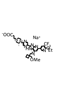 CCOc1ncc(-c2cc(N(C)CC3(COC)CCC3)c3[nH]c(-c4cnc(N5CCN(CCC(=O)[O-])C[C@H]5C)cn4)nc3n2)cc1C(F)(F)F.[Na+]